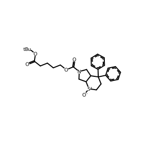 CC(C)(C)OC(=O)CCCCOC(=O)N1CC2C(C1)C(c1ccccc1)(c1ccccc1)CC[S+]2[O-]